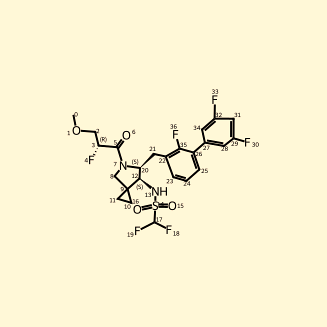 COC[C@@H](F)C(=O)N1CC2(CC2)[C@H](NS(=O)(=O)C(F)F)[C@@H]1Cc1cccc(-c2cc(F)cc(F)c2)c1F